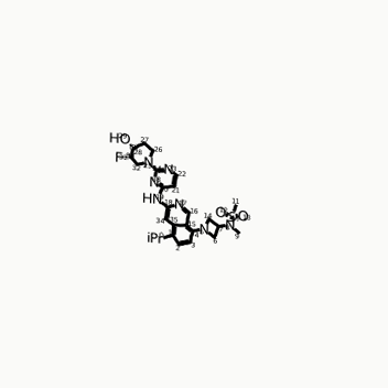 CC(C)c1ccc(N2CC(N(C)S(C)(=O)=O)C2)c2cnc(Nc3ccnc(N4CC[C@@H](O)[C@@H](F)C4)n3)cc12